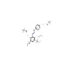 CCCOc1c(C(C)(C)CC)cc(C(C)(C)CC)c(OCOC(=O)C(C)(C)C)c1/C=C/C(=O)c1ccc(OCOC(=O)C(C)(C)C)cc1